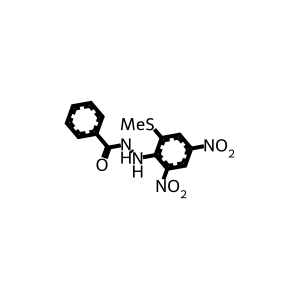 CSc1cc([N+](=O)[O-])cc([N+](=O)[O-])c1NNC(=O)c1ccccc1